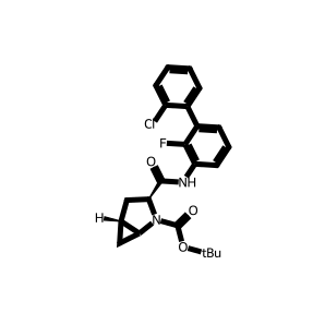 CC(C)(C)OC(=O)N1C2C[C@@H]2C[C@H]1C(=O)Nc1cccc(-c2ccccc2Cl)c1F